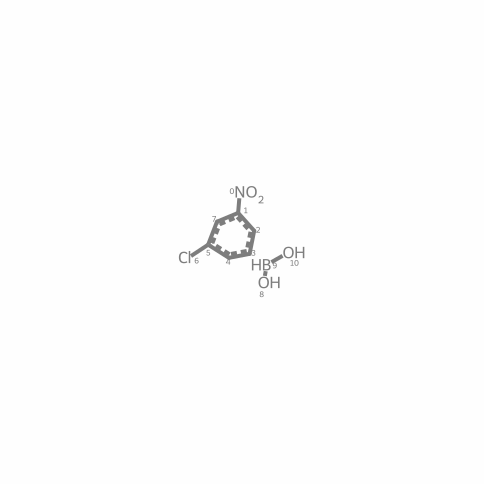 O=[N+]([O-])c1cccc(Cl)c1.OBO